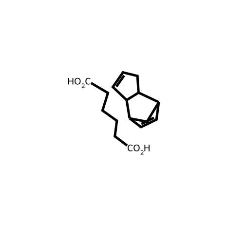 C1=CC2C3C=CC(C3)C2C1.O=C(O)CCCCC(=O)O